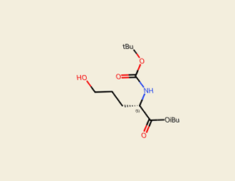 CC(C)COC(=O)[C@H](CCCO)NC(=O)OC(C)(C)C